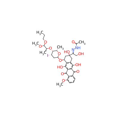 CCCO[C@H](OC)[C@H](C)O[C@@H]1[C@H](C)O[C@@H](O[C@H]2C[C@](O)(/C(CO)=N/NC(C)=O)Cc3c(O)c4c(c(O)c32)C(=O)c2c(OC)cccc2C4=O)C[C@@H]1I